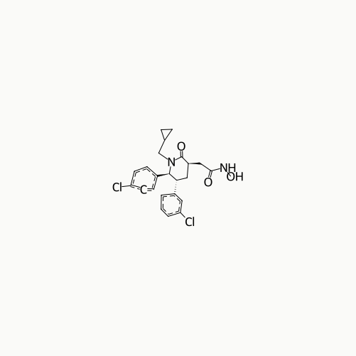 O=C(C[C@H]1C[C@H](c2cccc(Cl)c2)[C@@H](c2ccc(Cl)cc2)N(CC2CC2)C1=O)NO